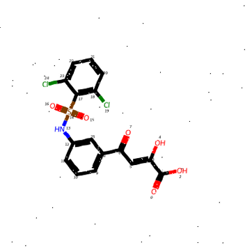 O=C(O)C(O)=CC(=O)c1cccc(NS(=O)(=O)c2c(Cl)cccc2Cl)c1